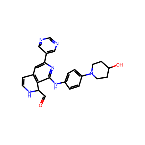 O=CC1NC=Cc2cc(-c3cncnc3)nc(Nc3ccc(N4CCC(O)CC4)cc3)c21